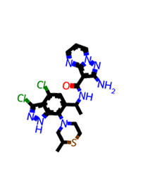 CC1CN(c2c(C(C)NC(=O)c3c(N)nn4cccnc34)cc(Cl)c3c(Cl)n[nH]c23)CCS1